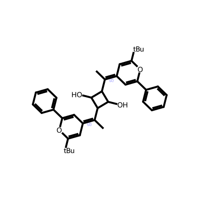 C/C(=C1/C=C(c2ccccc2)OC(C(C)(C)C)=C1)C1C(O)C(/C(C)=C2\C=C(c3ccccc3)OC(C(C)(C)C)=C2)C1O